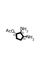 CC(=O)O[C@H]1CC[C@H](N)[C@@H]1N